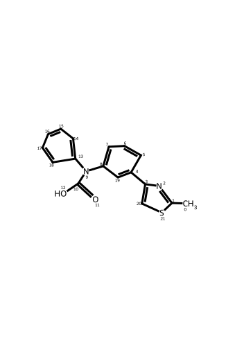 Cc1nc(-c2cccc(N(C(=O)O)c3ccccc3)c2)cs1